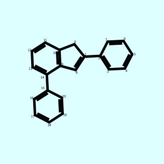 [CH]1C(c2ccccc2)=Cc2c1cccc2-c1ccccc1